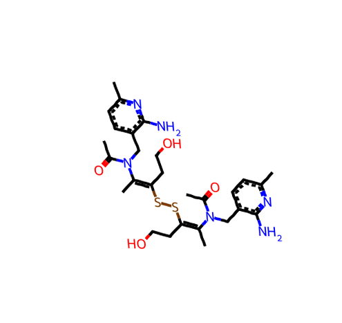 CC(=O)N(Cc1ccc(C)nc1N)/C(C)=C(/CCO)SS/C(CCO)=C(\C)N(Cc1ccc(C)nc1N)C(C)=O